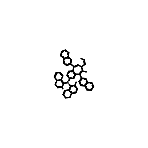 C/C=C\C1C=C(c2ccc3ccccc3c2)c2ccc(B(C3=C4C=CC=CC4CC=C3C)c3c(C)ccc4c3C=CCC4)cc2C(c2ccc3ccccc3c2)=C1C